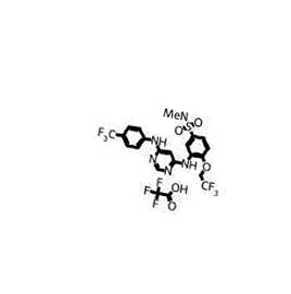 CNS(=O)(=O)c1ccc(OCC(F)(F)F)c(Nc2cc(Nc3ccc(C(F)(F)F)cc3)ncn2)c1.O=C(O)C(F)(F)F